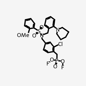 COc1ccccc1S(=O)(=O)N(Cc1ccc(CP(=O)(OF)OF)c(Cl)c1)Cc1ccccc1N1CCCCC1